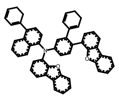 C1=CCCC(c2ccc(N(c3ccc(-c4cccc5c4oc4ccccc45)c(C4=CCCC=C4)c3)c3cccc4c3oc3ccccc34)c3ccccc23)=C1